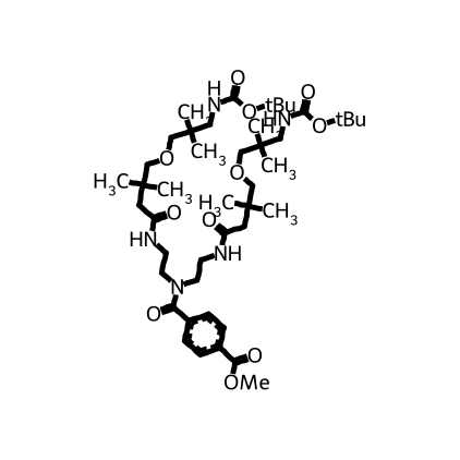 COC(=O)c1ccc(C(=O)N(CCNC(=O)CC(C)(C)COCC(C)(C)CNC(=O)OC(C)(C)C)CCNC(=O)CC(C)(C)COCC(C)(C)CNC(=O)OC(C)(C)C)cc1